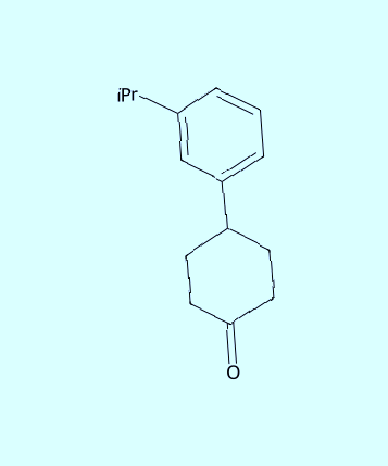 CC(C)c1cccc(C2CCC(=O)CC2)c1